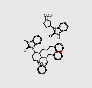 Cn1c(=O)n(C2CCN(C(=O)O)[C@H](N(Cc3ccccc3)Cc3ccccc3)C2CCCc2ccccc2)c2ccccc21.O=C(O)N1CCC(n2c(=O)[nH]c3ccccc32)C1